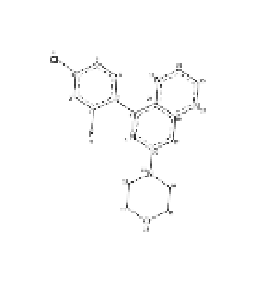 Fc1cc(Cl)ccc1-c1nc(N2CCOCC2)cc2nccnc12